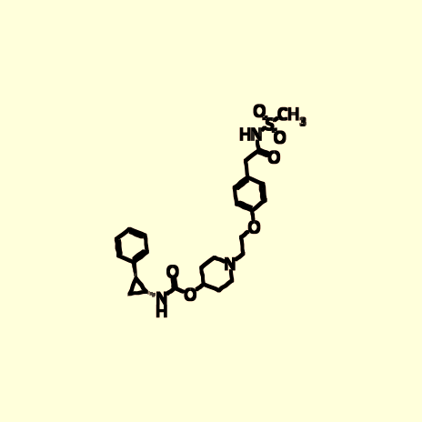 CS(=O)(=O)NC(=O)Cc1ccc(OCCN2CCC(OC(=O)N[C@@H]3C[C@H]3c3ccccc3)CC2)cc1